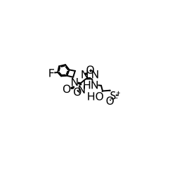 C[S+]([O-])CC(O)CNc1nonc1-c1noc(=O)n1C1Cc2ccc(F)cc21